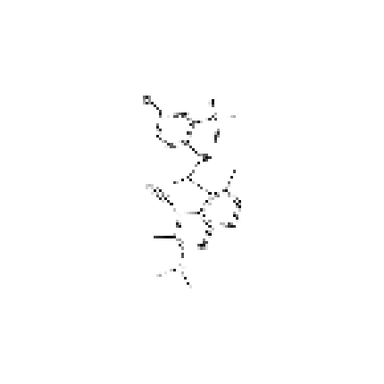 Cc1ccc2nc([S+](C)[O-])c(C)c(C#N)c2c1C(C)Nc1ccc(Cl)cc1S(C)(=O)=O